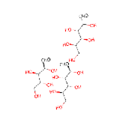 O=C[C@@H](O)[C@@H](O)[C@H](O)[C@H](O)CO.O=C[C@@H](O)[C@H](O)[C@H](O)CO.O=C[C@H](O)[C@@H](O)[C@@H](O)[C@H](O)CO